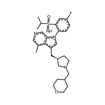 Cc1cncc2c1c(C[C@H]1CCN(CC3CCOCC3)C1)cn2-c1ccc(F)cc1S(=N)(=O)C(C)C